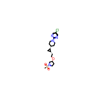 CS(=O)(=O)N1CC[C@@H](OCC[C@@H]2C[C@@H]2C2CCN(c3ncc(Cl)cn3)CC2)C1